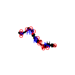 COc1ccc(C2=CN3C(=O)c4cc(OC)c(OCCCOc5cc6c(cc5OC)C(=O)N5C=C(c7ccc(NC(=O)[C@H](C)CC(=O)C(NC(=O)CCCCCN8C(=O)CC(C)(C)C8=O)C(C)C)cc7)CC5C=N6)cc4N=C[C@@H]3C2)cc1